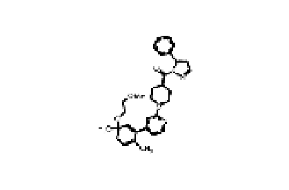 COCCOC1(C)C=C(c2ccnc(N3CCC(C(=O)N4N=CCC4c4ccccc4)CC3)c2)C(C)=CC1